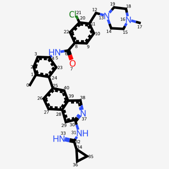 Cc1ccc(NC(=O)c2ccc(CN3CCN(C)CC3)c(Cl)c2)cc1-c1ccc2cc(NC(=N)C3CC3)ncc2c1